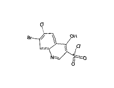 O=S(=O)(Cl)c1cnc2cc(Br)c(Cl)cc2c1O